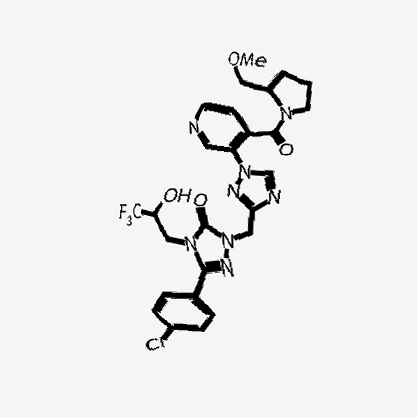 COCC1CCCN1C(=O)c1ccncc1-n1cnc(Cn2nc(-c3ccc(Cl)cc3)n(CC(O)C(F)(F)F)c2=O)n1